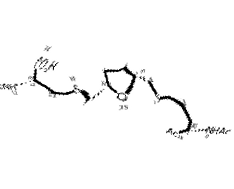 CC(=O)N[C@@H](CSC[C@H]1CC[C@@H](CSC[C@H](NC(C)=O)C(=O)O)O1)C(C)=O